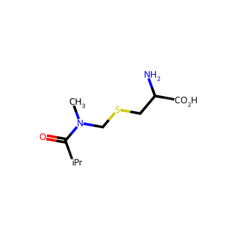 CC(C)C(=O)N(C)CSCC(N)C(=O)O